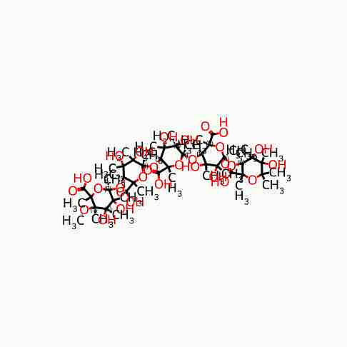 CO[C@]1(C)C(C)(C(=O)O)O[C@@](C)(O[C@]2(C)C(C)(C(=O)O)O[C@@](C)(O[C@]3(C)C(C)(C(=O)O)O[C@@](C)(O[C@@]4(C)C(C)(O)C(C)(O)[C@](C)(O[C@]5(C)C(C)(C(=O)O)OC(C)(C)C(C)(O)[C@]5(C)O)O[C@@]4(C)C(=O)O)[C@](C)(O)C3(C)O)C(C)(O)C2(C)O)C(C)(O)[C@]1(C)O